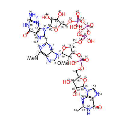 CNc1ncnc2c1ncn2[C@@H]1O[C@H](COP(=O)(O)OP(=O)(O)OP(=O)(O)OC[C@H]2O[C@@H](n3c[n+](C)c4c(=O)[nH]c(N)nc43)C(O)C2O)C(OP(=O)(O)OC[C@H]2O[C@@H](n3cnc4c(=O)[nH]c(C)nc43)[C@@H](O)C2O)[C@@H]1OC